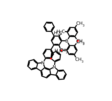 Cc1cc(C)c(B(c2c(C)cc(C)cc2C)c2c(C)c(-c3ccccc3)cc(-c3ccc(-n4c5ccccc5c5ccc6c7ccccc7n(-c7ccccc7)c6c54)cc3)c2C)c(C)c1